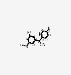 N#CC(c1cc(F)cc(CF)c1)c1ccc(F)cn1